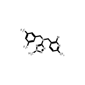 Cn1nnc(N(Cc2cc(C(F)(F)F)cc(C(F)(F)F)c2)Cc2ccc(C(F)(F)F)nc2Br)n1